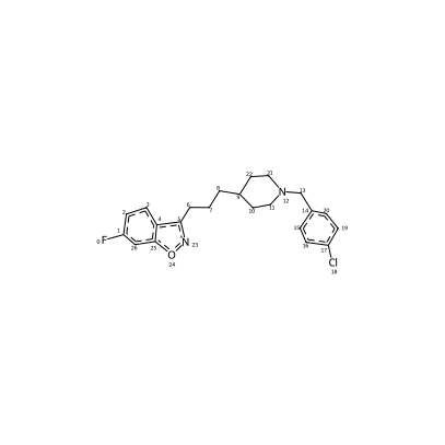 Fc1ccc2c(CCCC3CCN(Cc4ccc(Cl)cc4)CC3)noc2c1